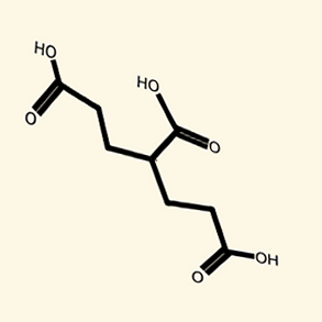 O=C(O)CC[C](CCC(=O)O)C(=O)O